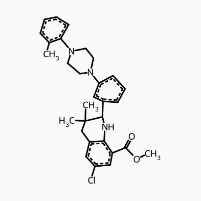 COC(=O)c1cc(Cl)cc2c1NC(c1cccc(N3CCN(c4ccccc4C)CC3)c1)C(C)(C)C2